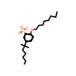 CCCCCCCCOc1ccc(C(C)(C)CCCCC)cc1S([O])(=O)=O